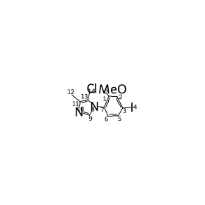 COc1cc(I)ccc1-n1cnc(C)c1Cl